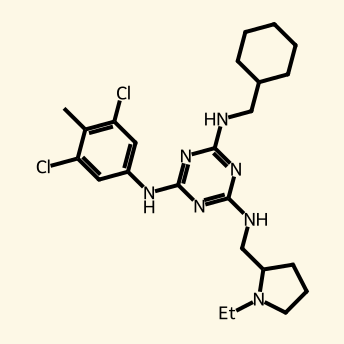 CCN1CCCC1CNc1nc(NCC2CCCCC2)nc(Nc2cc(Cl)c(C)c(Cl)c2)n1